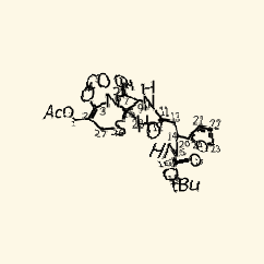 CC(=O)OCC1=C(OC(=O)O)N2C(=O)C(NC(=O)CC(NC(=O)OC(C)(C)C)c3ccco3)[C@@H]2SC1